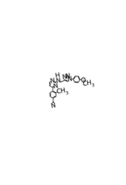 COc1ccc(-n2cc(CNc3nccc(-c4ccc(C#N)cc4C)n3)nn2)cc1